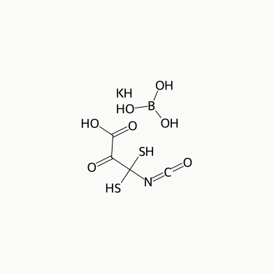 O=C=NC(S)(S)C(=O)C(=O)O.OB(O)O.[KH]